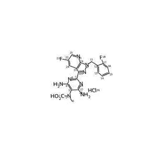 CN(C(=O)O)c1c(N)nc(-c2nn(Cc3ccccc3F)c3ncc(F)cc23)nc1N.Cl